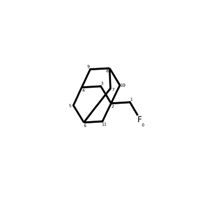 FCC12CC3CC(CC(C3)C1)C2